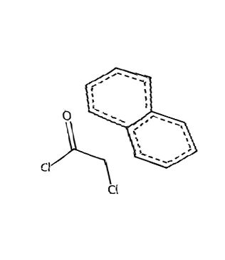 O=C(Cl)CCl.c1ccc2ccccc2c1